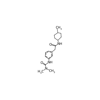 CC1CCC(NC(=O)Cc2cccc(NC(=O)N(C)C)c2)CC1